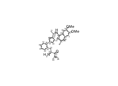 COc1cc2nc(C)nc(NC(C)c3ccc(-c4ccccc4CC(N)C(=O)N(C)C)s3)c2cc1OC